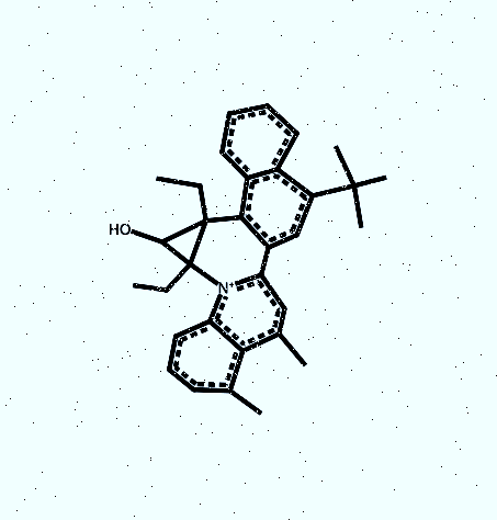 CCC12c3c(cc(C(C)(C)C)c4ccccc34)-c3cc(C)c4c(C)cccc4[n+]3C1(CC)C2O